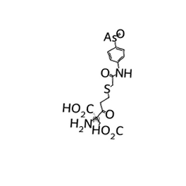 N[C@@](CC(=O)O)(C(=O)O)C(=O)CCSCC(=O)Nc1ccc([As]=O)cc1